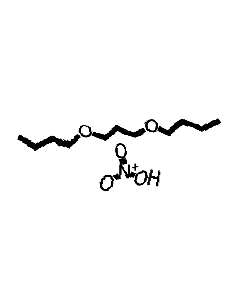 CCCCOCCCOCCCC.O=[N+]([O-])O